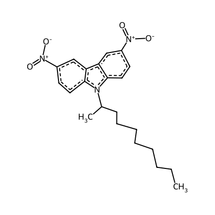 CCCCCCCCC(C)n1c2ccc([N+](=O)[O-])cc2c2cc([N+](=O)[O-])ccc21